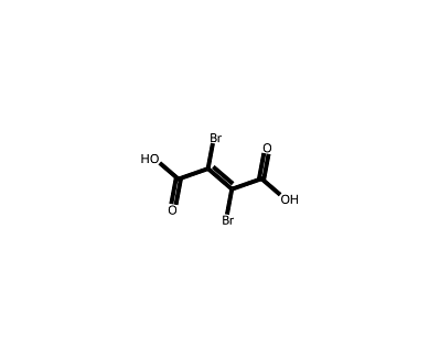 O=C(O)C(Br)=C(Br)C(=O)O